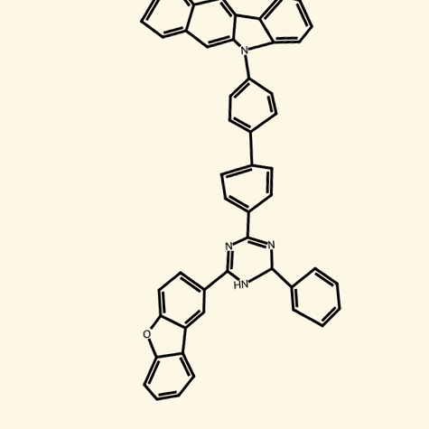 c1ccc(C2N=C(c3ccc(-c4ccc(-n5c6ccccc6c6cc7ccccc7cc65)cc4)cc3)N=C(c3ccc4oc5ccccc5c4c3)N2)cc1